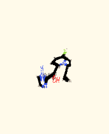 CCC1=CCC2C(F)=CC=C(C(O)c3ncc[nH]3)N12